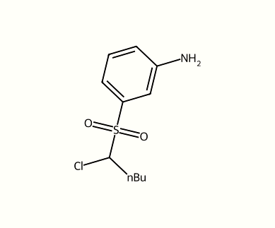 CCCCC(Cl)S(=O)(=O)c1cccc(N)c1